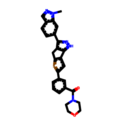 Cn1ncc2ccc(-c3n[nH]c4c3Cc3sc(-c5cccc(C(=O)N6CCOCC6)c5)cc3-4)cc21